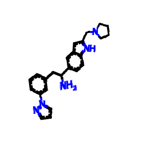 NC(Cc1cccc(-n2cccn2)c1)c1ccc2[nH]c(CN3CCCC3)cc2c1